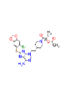 CC(=O)O[C@@H](C)C(=O)N1CCC(CCn2cnc(N)c3nc(Sc4cc5c(cc4Br)OCO5)nc2-3)CC1